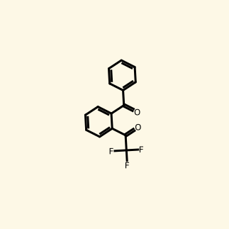 O=C(c1ccccc1)c1ccccc1C(=O)C(F)(F)F